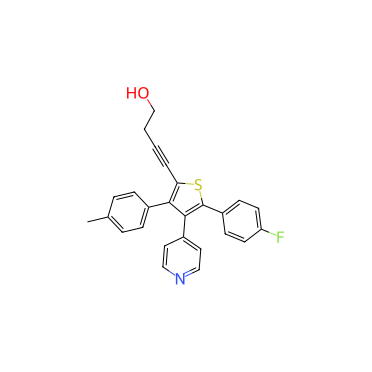 Cc1ccc(-c2c(C#CCCO)sc(-c3ccc(F)cc3)c2-c2ccncc2)cc1